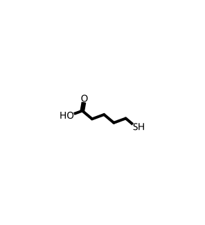 O=C(O)CCCCS